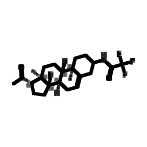 CC(=O)[C@H]1CC[C@H]2[C@@H]3CC=C4CC(NC(=O)C(F)(F)F)CC[C@]4(C)[C@H]3CC[C@]12C